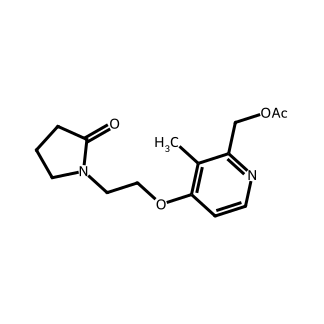 CC(=O)OCc1nccc(OCCN2CCCC2=O)c1C